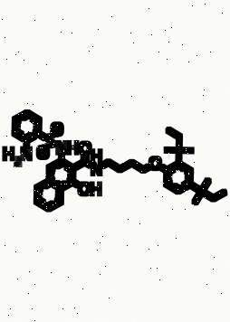 CCC(C)(C)c1ccc(OCCCCNC(=O)c2c(NS(=O)(=O)c3ccccc3N)cc3ccccc3c2O)c(C(C)(C)CC)c1